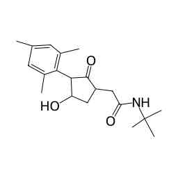 Cc1cc(C)c(C2C(=O)C(CC(=O)NC(C)(C)C)CC2O)c(C)c1